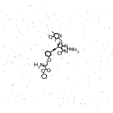 COc1c(C)cnc(Cn2cc(C#Cc3cccc(OCC[C@H](N)C(=O)OC4CCCC4)c3)c3c(Cl)nc(N)nc32)c1C